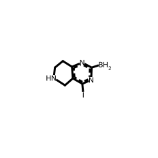 Bc1nc(I)c2c(n1)CCNC2